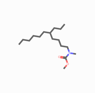 CCCCCCC(CCC)CCCCN(C)C(=O)OC